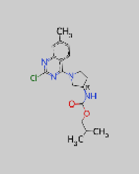 Cc1ccc2c(N3CC[C@@H](NC(=O)OCC(C)C)C3)nc(Cl)nc2c1